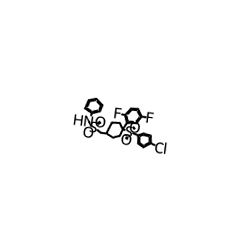 O=S(=O)(CC1CCC(c2cc(F)ccc2F)(S(=O)(=O)c2ccc(Cl)cc2)CC1)Nc1ccccc1